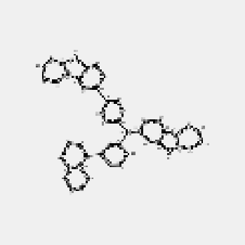 c1cc(-c2cccc3ccccc23)cc(N(c2ccc(-c3ccc4oc5ccccc5c4c3)cc2)c2ccc3c(c2)sc2ccccc23)c1